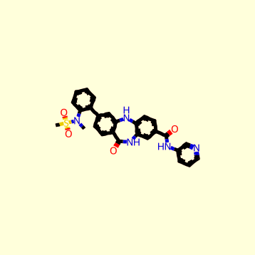 CN(c1ccccc1-c1ccc2c(c1)Nc1ccc(C(=O)Nc3cccnc3)cc1NC2=O)S(C)(=O)=O